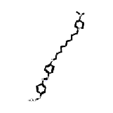 CCCCCCCCOc1ccc(/N=N/c2ccc(OCCCCCCCCC[n+]3ccc(N(C)C)cc3)cc2)cc1